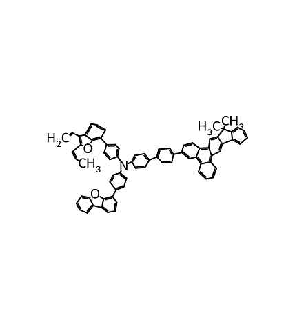 C=Cc1c(/C=C\C)oc2c(-c3ccc(N(c4ccc(-c5ccc(-c6ccc7c(c6)c6ccccc6c6cc8c(cc76)C(C)(C)c6ccccc6-8)cc5)cc4)c4ccc(-c5cccc6c5oc5ccccc56)cc4)cc3)cccc12